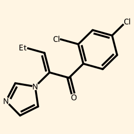 CC/C=C(/C(=O)c1ccc(Cl)cc1Cl)n1ccnc1